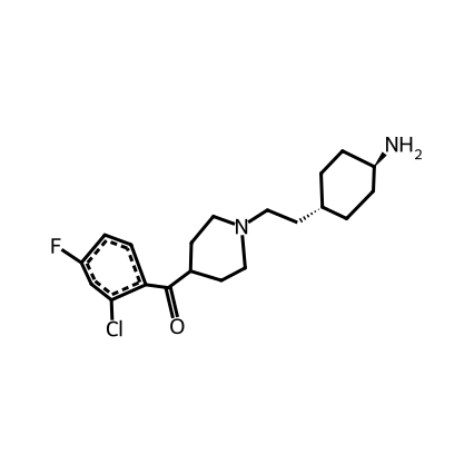 N[C@H]1CC[C@H](CCN2CCC(C(=O)c3ccc(F)cc3Cl)CC2)CC1